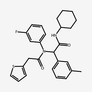 Cc1cccc(C(C(=O)NC2CCCCC2)N(C(=O)Cc2cccs2)c2cccc(F)c2)c1